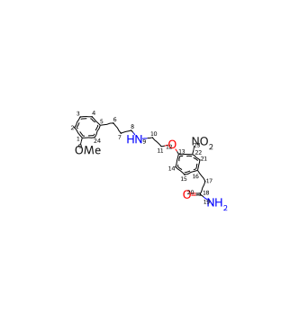 COc1cccc(CCCNCCOc2ccc(CC(N)=O)cc2[N+](=O)[O-])c1